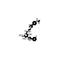 CC(=O)Nc1ccc(-c2cn(CCNC(=O)[C@@H]3O[C@H](CO)[C@H](O)[C@H](n4cc(-c5cccc(F)c5)nn4)[C@H]3O)nn2)cc1